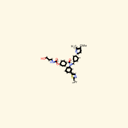 COc1ccc([C@H]2CC[C@H](CN(c3cccc(-c4cnc(C(C)C)s4)c3)C(=O)[C@H]3CC[C@H](OC(=O)NCCCO)CC3)CC2)nc1C